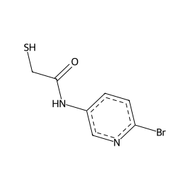 O=C(CS)Nc1ccc(Br)nc1